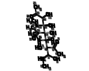 CNC(O)[C@](O)(C(C)=O)[C@](O)(NC)[C@@](O)(C(C)=O)[C@](O)(NC)C(O)C(C)=O